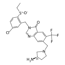 CC[S+]([O-])c1ccc(Cl)cc1Cn1cnc2cc(CN3CC[C@@H](N)C3)c(C(F)(F)F)cc2c1=O